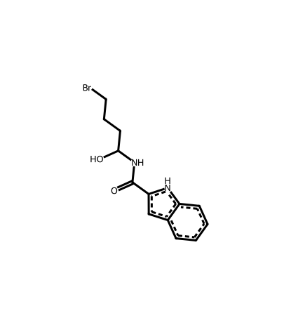 O=C(NC(O)CCCBr)c1cc2ccccc2[nH]1